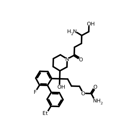 CCc1cccc(-c2c(F)cccc2C(O)(CCCOC(N)=O)C2CCCN(C(=O)CCC(N)CO)C2)c1